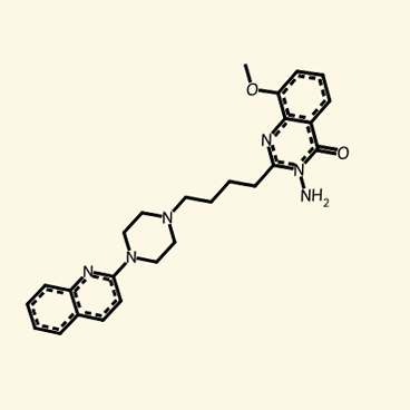 COc1cccc2c(=O)n(N)c(CCCCN3CCN(c4ccc5ccccc5n4)CC3)nc12